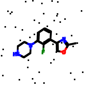 Cc1nc(-c2cccc(N3CCNCC3)c2F)co1